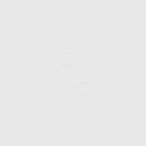 CC[N+](=CC=Cc1ccccc1)c1ccccc1.F[B-](F)(F)F